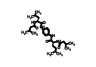 CC(C)CC[C@H](NC(=O)CC(C)C)C(=O)Nc1ccc(NC(=O)[C@H](CC(C)C)NC(=O)CC(C)C)cc1